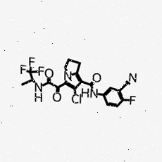 CC(NC(=O)C(=O)c1c(Cl)c(C(=O)Nc2ccc(F)c(C#N)c2)c2n1CCC2)C(F)(F)F